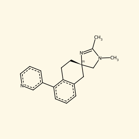 CC1=N[C@]2(CCc3c(cccc3-c3cccnc3)C2)CN1C